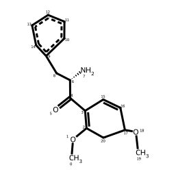 COC1=C(C(=O)[C@@H](N)Cc2ccccc2)C=CC(OC)[CH]1